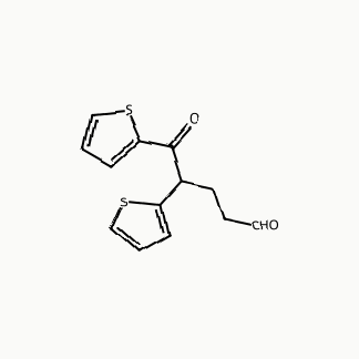 O=CCCC(C(=O)c1cccs1)c1cccs1